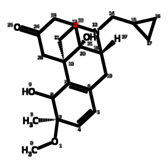 CO[C@]1(C)C=CC2=C(C1O)[C@]13CCN(CC4CC4)[C@H](C2)[C@]1(O)CCC(=O)C3